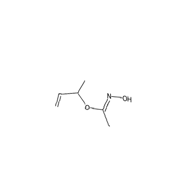 C=CC(C)OC(C)=NO